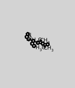 CC1(C)c2ccccc2-c2cc3c(cc21)-c1ccc(-c2ccc(-c4ccc5ccc6cccnc6c5n4)c4ccc5ccccc5c24)cc1C3(C)C